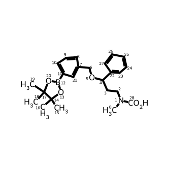 CN(CCC(OCc1cccc(B2OC(C)(C)C(C)(C)O2)c1)c1ccccc1)C(=O)O